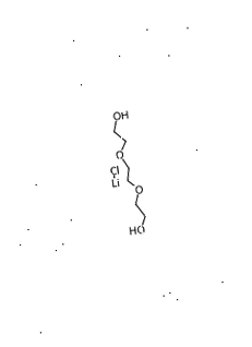 OCCOCCOCCO.[Li][Cl]